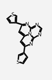 C1=NC2=NC(c3ccsc3)=CC3=CC(c4ccsc4)=NC(=N1)N32